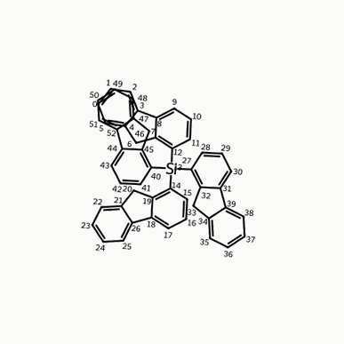 c1ccc2c(c1)Cc1c-2cccc1[Si](c1cccc2c1Cc1ccccc1-2)(c1cccc2c1Cc1ccccc1-2)c1cccc2c1Cc1ccccc1-2